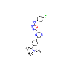 C=C(c1ccc(-c2cncc(-c3nnc(Nc4ccc(Cl)cc4)o3)n2)cc1)N(C)C